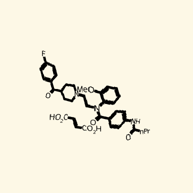 CCCC(=O)Nc1ccc(C(=O)N(CCN2CCC(C(=O)c3ccc(F)cc3)CC2)c2ccccc2OC)cc1.O=C(O)/C=C/C(=O)O